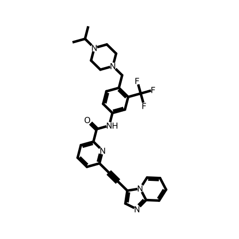 CC(C)N1CCN(Cc2ccc(NC(=O)c3cccc(C#Cc4cnc5ccccn45)n3)cc2C(F)(F)F)CC1